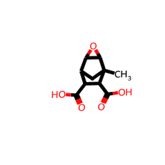 CC12CC(C3OC31)C(C(=O)O)C2C(=O)O